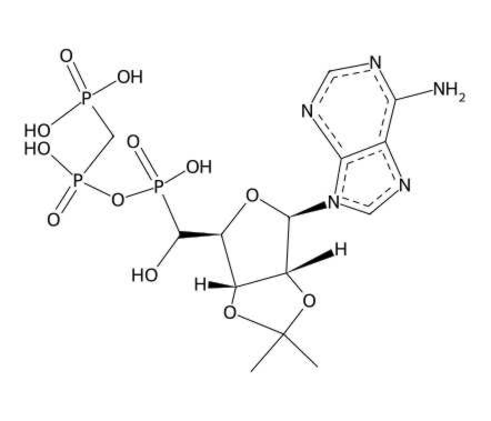 CC1(C)O[C@@H]2[C@H](O1)[C@@H](C(O)P(=O)(O)OP(=O)(O)CP(=O)(O)O)O[C@H]2n1cnc2c(N)ncnc21